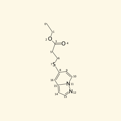 CCOC(=O)CCSc1ccn2nccc2c1